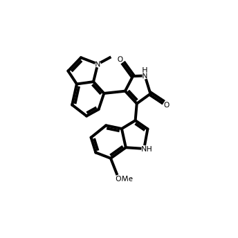 COc1cccc2c(C3=C(c4cccc5ccn(C)c45)C(=O)NC3=O)c[nH]c12